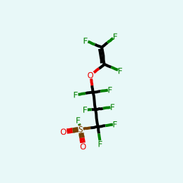 O=S(=O)(F)C(F)(F)C(F)(F)C(F)(F)OC(F)=C(F)F